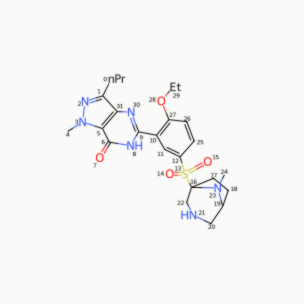 CCCc1nn(C)c2c(=O)[nH]c(-c3cc(S(=O)(=O)C45CCC(CNC4)N5C)ccc3OCC)nc12